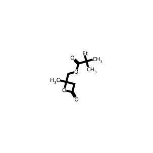 CCC(C)(C)C(=O)OCC1(C)CC(=O)O1